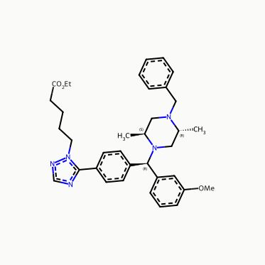 CCOC(=O)CCCCn1ncnc1-c1ccc([C@H](c2cccc(OC)c2)N2C[C@@H](C)N(Cc3ccccc3)C[C@@H]2C)cc1